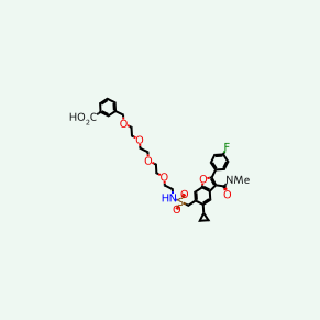 CNC(=O)c1c(-c2ccc(F)cc2)oc2cc(CS(=O)(=O)NCCOCCOCCOCCOCc3cccc(C(=O)O)c3)c(C3CC3)cc12